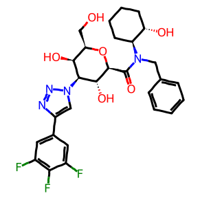 O=C([C@@H]1O[C@H](CO)[C@H](O)[C@H](n2cc(-c3cc(F)c(F)c(F)c3)nn2)[C@H]1O)N(Cc1ccccc1)[C@H]1CCCC[C@@H]1O